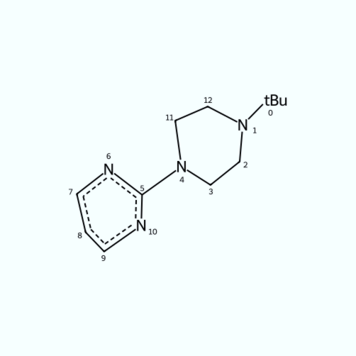 CC(C)(C)N1CCN(c2ncccn2)CC1